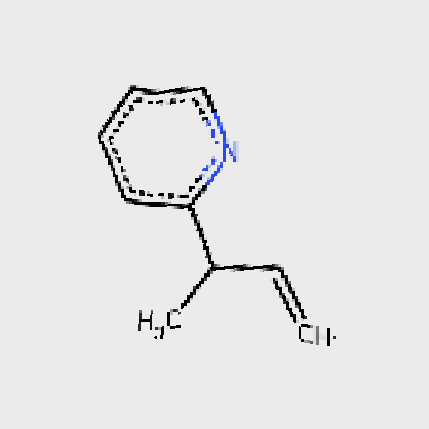 [CH]=CC(C)c1ccccn1